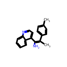 CC(=C(N)c1ccnc2ccccc12)c1ccc(C)cc1